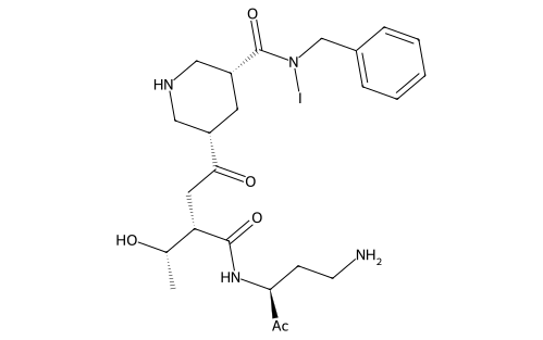 CC(=O)[C@H](CCN)NC(=O)[C@@H](CC(=O)[C@@H]1CNC[C@H](C(=O)N(I)Cc2ccccc2)C1)[C@H](C)O